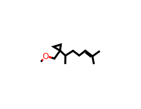 COCC1(C(C)CCC=C(C)C)CC1